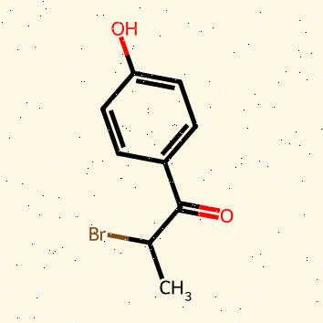 CC(Br)C(=O)c1ccc(O)cc1